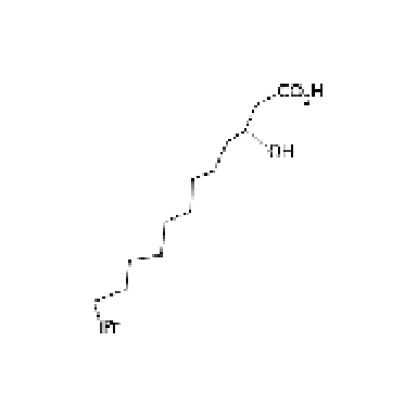 CC(C)CCCCCCCCC[C@@H](O)CC(=O)O